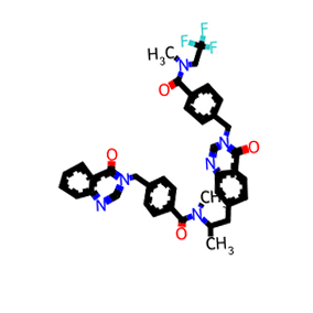 CC(Cc1ccc2c(=O)n(Cc3ccc(C(=O)N(C)CC(F)(F)F)cc3)cnc2c1)N(C)C(=O)c1ccc(Cn2cnc3ccccc3c2=O)cc1